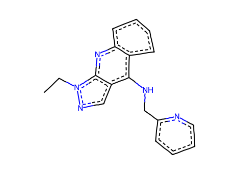 CCn1ncc2c(NCc3ccccn3)c3ccccc3nc21